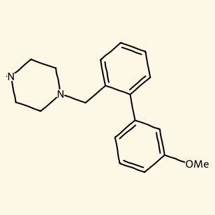 COc1cccc(-c2ccccc2CN2CC[N]CC2)c1